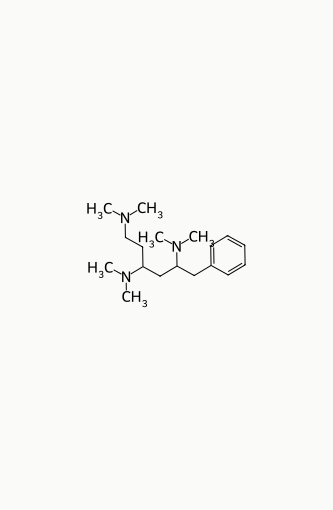 CN(C)CCC(CC(Cc1ccccc1)N(C)C)N(C)C